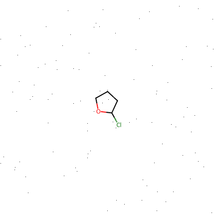 ClC1C[CH]CO1